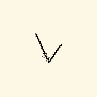 C=C(CCCCCCCCCCCCCCCC)OC(=O)CCC(=O)OC(=C)CCCCCCCCCCCCCCCC